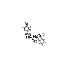 O=[N+]([O-])c1ccccc1-c1cnc(N/N=C/c2ccc(Br)cc2)nc1